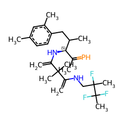 C=C(NCC(C)(F)C(C)(F)F)C(C)(C)C(=C)N[C@H](C(C)=P)C(C)Cc1ccc(C)cc1C